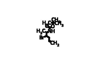 C=CCC(Br)[C@@H](C)NC(=O)OC(C)(C)C